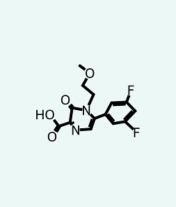 COCCn1c(-c2cc(F)cc(F)c2)cnc(C(=O)O)c1=O